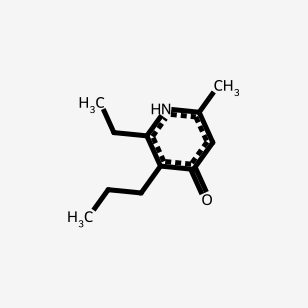 CCCc1c(CC)[nH]c(C)cc1=O